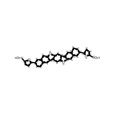 CCCCCCCCc1ccc(-c2ccc3cc4c(cc3c2)oc2cc3c(cc24)oc2cc4cc(-c5ccc(CCCCCCCC)o5)ccc4cc23)o1